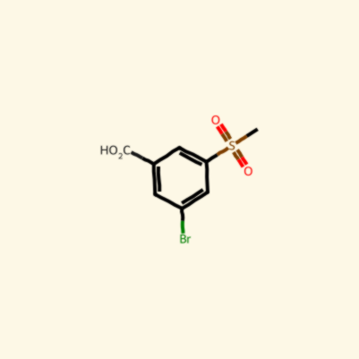 CS(=O)(=O)c1cc(Br)cc(C(=O)O)c1